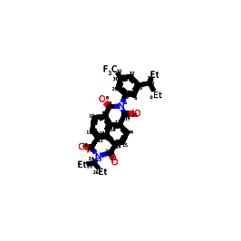 CCC(CC)c1cc(N2C(=O)c3ccc4c5c(ccc(c35)C2=O)C(=O)N(C(CC)CC)C4=O)cc(C(F)(F)F)c1